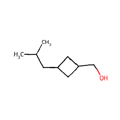 CC(C)CC1CC(CO)C1